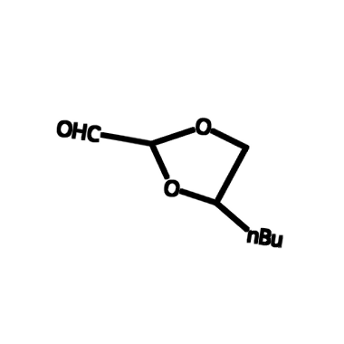 CCCCC1COC(C=O)O1